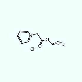 C=COC(=O)C[n+]1ccccc1.[Cl-]